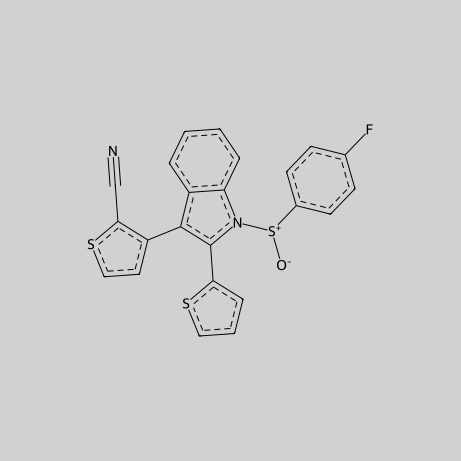 N#Cc1sccc1-c1c(-c2cccs2)n([S+]([O-])c2ccc(F)cc2)c2ccccc12